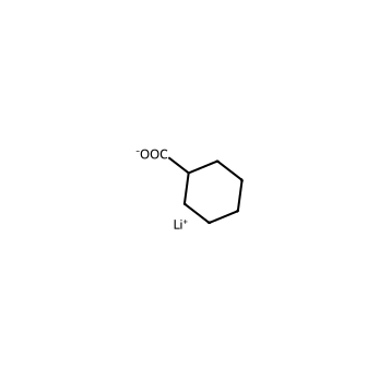 O=C([O-])C1CCCCC1.[Li+]